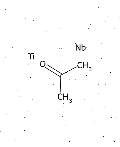 CC(C)=O.[Nb].[Ti]